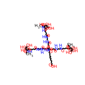 CC(=O)C[C@H]1[C@H](OCCCCC(=O)NCCCNC(=O)CCOCC(COCCC(=O)NCCCNC(=O)CCCCO[C@@H]2O[C@H](CO)[C@H](O)[C@H](O)[C@H]2NC(C)=O)(COCCC(=O)NCCCNC(=O)CCCCO[C@@H]2O[C@H](CO)[C@H](O)[C@H](O)[C@H]2NC(C)=O)NC(=O)CCCCCCCCCCC(=O)O)O[C@H](CO)[C@H](O)[C@@H]1O